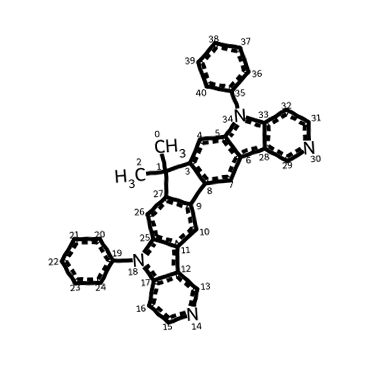 CC1(C)c2cc3c(cc2-c2cc4c5cnccc5n(-c5ccccc5)c4cc21)c1cnccc1n3-c1ccccc1